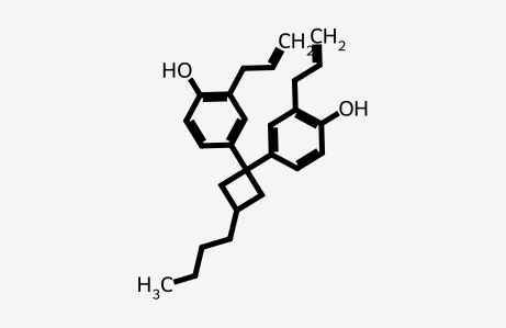 C=CCc1cc(C2(c3ccc(O)c(CC=C)c3)CC(CCCC)C2)ccc1O